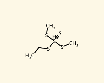 CCS[SH](=S)(SC)SC